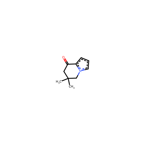 CC1(C)CC(=O)c2cccn2C1